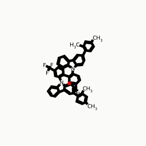 Cc1ccc(-c2ccc3c(c2)c2ccccc2n3-c2ccc(C#N)cc2-c2ccc(C(F)(F)F)cc2-n2c3ccccc3c3cc(-c4ccc(C)cc4C)ccc32)c(C)c1